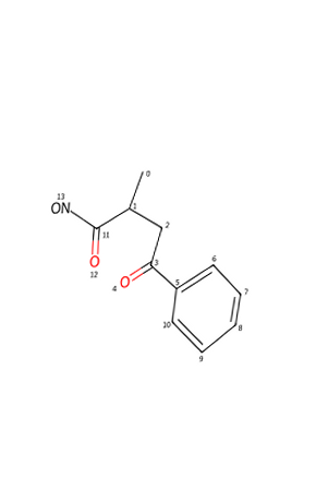 CC(CC(=O)c1ccccc1)C(=O)N=O